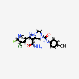 N#Cc1ccc(NC(=O)N2CCn3nc(-c4cnc(F)c(Cl)c4)c(C(N)=O)c3C2)cc1